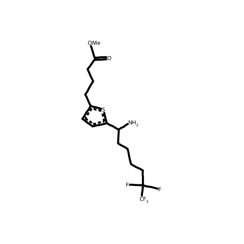 COC(=O)CCCc1ccc(C(N)CCCCC(F)(F)C(F)(F)F)s1